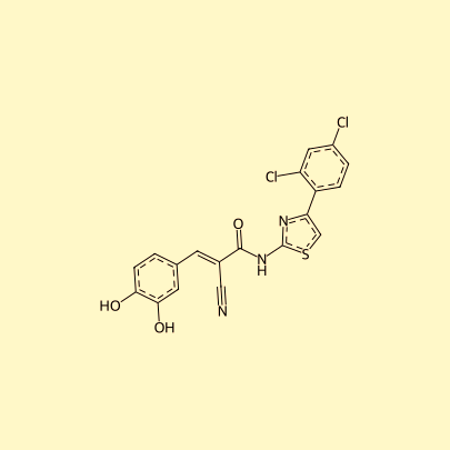 N#C/C(=C\c1ccc(O)c(O)c1)C(=O)Nc1nc(-c2ccc(Cl)cc2Cl)cs1